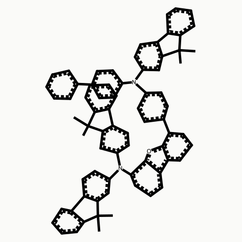 CC1(C)c2ccccc2-c2ccc(N(c3ccc(-c4ccccc4)cc3)c3ccc(-c4cccc5c4oc4c(N(c6ccc7c(c6)C(C)(C)c6ccccc6-7)c6ccc7c(c6)C(C)(C)c6ccccc6-7)cccc45)cc3)cc21